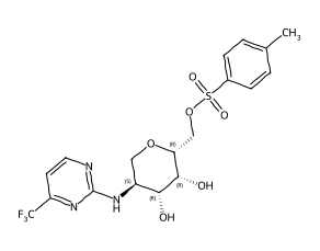 Cc1ccc(S(=O)(=O)OC[C@H]2OC[C@H](Nc3nccc(C(F)(F)F)n3)[C@@H](O)[C@H]2O)cc1